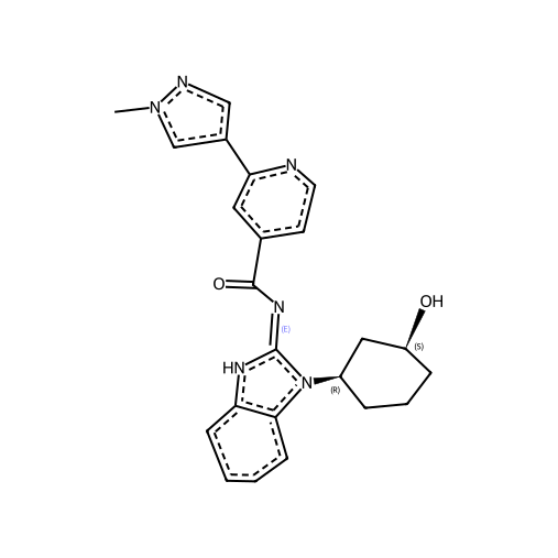 Cn1cc(-c2cc(C(=O)/N=c3\[nH]c4ccccc4n3[C@@H]3CCC[C@H](O)C3)ccn2)cn1